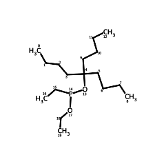 CCCCC(CCCC)(CCCC)OP(CC)OCC